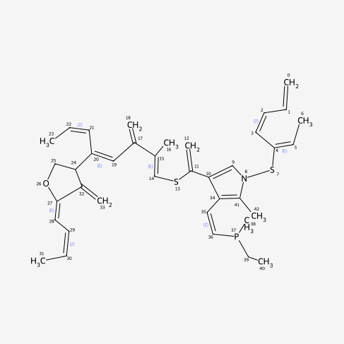 C=C/C=C\C(=C/C)Sn1cc(C(=C)S/C=C(\C)C(=C)/C=C(\C=C/C)C2CO/C(=C/C=C\C)C2=C)c(/C=C\P(C)CC)c1C